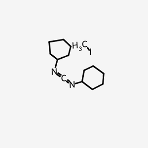 C(=NC1CCCCC1)=NC1CCCCC1.CI